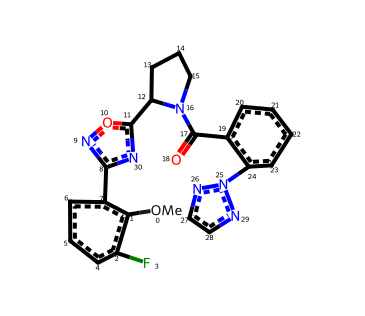 COc1c(F)cccc1-c1noc(C2CCCN2C(=O)c2ccccc2-n2nccn2)n1